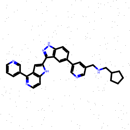 c1cncc(-c2nccc3[nH]c(-c4n[nH]c5ccc(-c6cncc(CNCC7CCCC7)c6)cc45)cc23)c1